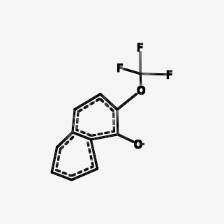 [O]c1c(OC(F)(F)F)ccc2ccccc12